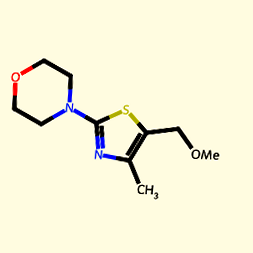 COCc1sc(N2CCOCC2)nc1C